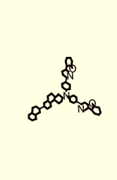 c1ccc2cc(-c3ccc4c(ccc5cc(N(c6ccc(-c7cc8oc9ccccc9c8cn7)cc6)c6ccc(-c7ccc8c(n7)oc7ccccc78)cc6)ccc54)c3)ccc2c1